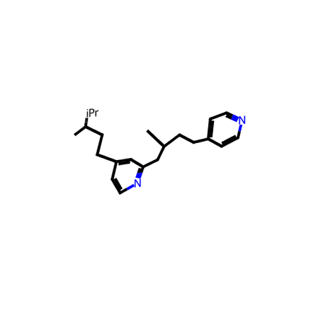 CC(CCc1ccncc1)Cc1cc(CCC(C)C(C)C)ccn1